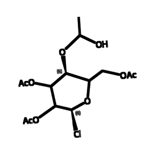 CC(=O)OCC1O[C@@H](Cl)C(OC(C)=O)C(OC(C)=O)[C@H]1OC(C)O